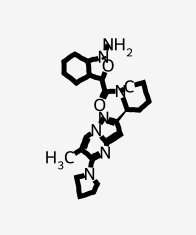 Cc1cn2nc([C@@H]3CCCCN3C(=O)C3ON(N)C4CCCCC34)cc2nc1N1CCCC1